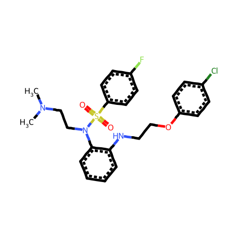 CN(C)CCN(c1ccccc1NCCOc1ccc(Cl)cc1)S(=O)(=O)c1ccc(F)cc1